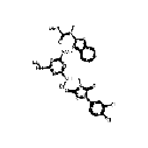 CCNc1nc(NCC)nc(SC)n1.CNC(=O)N(C)c1nc2ccccc2s1.Cn1c(=O)on(-c2ccc(Cl)c(Cl)c2)c1=O